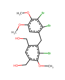 COc1cc(Cc2c(CO)cc(CO)c(OC)c2Br)c(Br)c(Br)c1OC